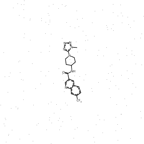 Cn1nnnc1N1CCC(NC(=O)c2cnc3cc(C(F)(F)F)ccc3c2)CC1